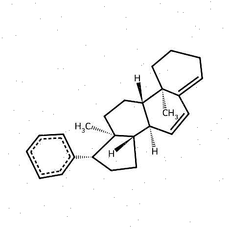 C[C@]12CC[C@H]3[C@@H](C=CC4=CCCC[C@@]43C)[C@@H]1CC[C@@H]2c1ccccc1